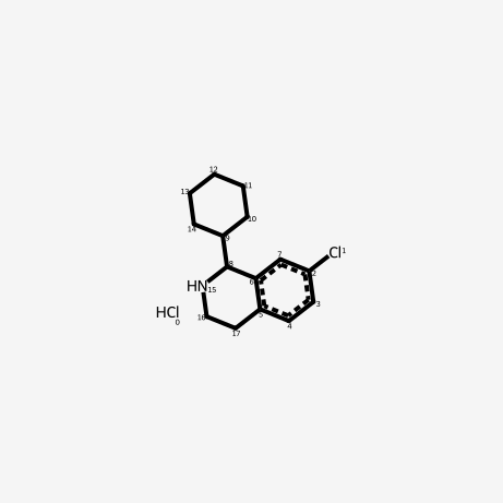 Cl.Clc1ccc2c(c1)C(C1CCCCC1)NCC2